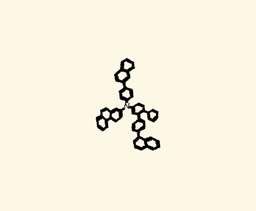 c1ccc(-c2ccc(N(c3ccc(-c4ccc5ccccc5c4)cc3)c3ccc4c(ccc5ccccc54)c3)cc2-c2ccc(-c3cccc4ccccc34)cc2)cc1